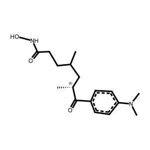 CC(CCC(=O)NO)C[C@@H](C)C(=O)c1ccc(N(C)C)cc1